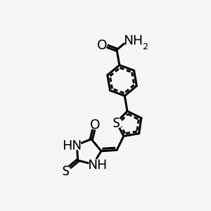 NC(=O)c1ccc(-c2ccc(C=C3NC(=S)NC3=O)s2)cc1